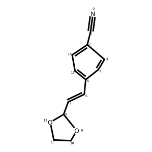 N#Cc1ccc(C=CC2OCCO2)cc1